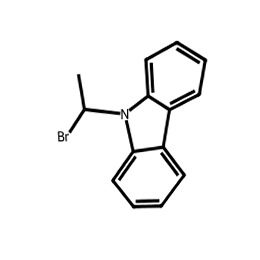 CC(Br)n1c2ccccc2c2ccccc21